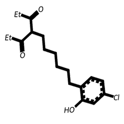 CCC(=O)C(CCCCCCc1ccc(Cl)cc1O)C(=O)CC